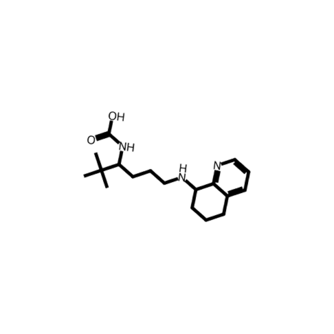 CC(C)(C)C(CCCNC1CCCc2cccnc21)NC(=O)O